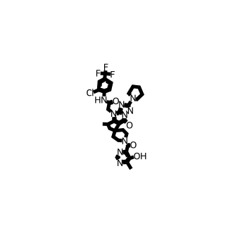 Cc1ncnc(C(=O)N2CCC3(CC2)CC(C)c2c3c(=O)n3nc(N4CCCCC4)nc3n2CC(=O)Nc2ccc(C(F)(F)F)cc2Cl)c1O